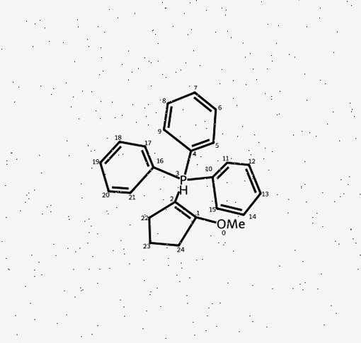 COC1=C([PH](c2ccccc2)(c2ccccc2)c2ccccc2)CCC1